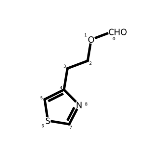 O=COCCc1cscn1